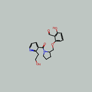 O=Cc1c(O)cccc1OCC1CCCN1C(=O)c1cccnc1CCO